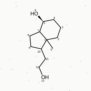 CC12CCC[C@H](O)C1CCC2CCO